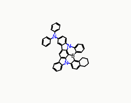 c1ccc(N(c2ccccc2)c2ccc3c(c2)c2cc4c5ccccc5n5c4c4c2n3-c2ccccc2B4c2c-5ccc3c2CCCC3)cc1